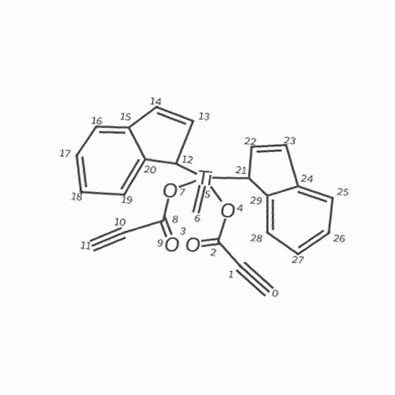 C#CC(=O)[O][Ti](=[CH2])([O]C(=O)C#C)([CH]1C=Cc2ccccc21)[CH]1C=Cc2ccccc21